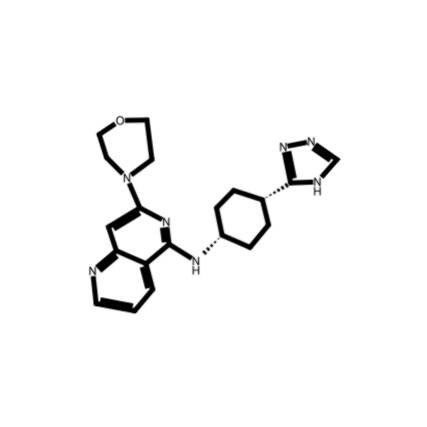 c1cnc2cc(N3CCOCC3)nc(N[C@H]3CC[C@@H](c4nnc[nH]4)CC3)c2c1